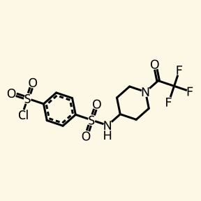 O=C(N1CCC(NS(=O)(=O)c2ccc(S(=O)(=O)Cl)cc2)CC1)C(F)(F)F